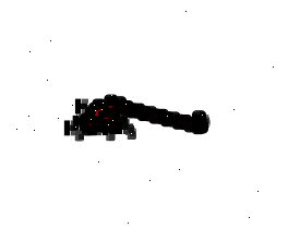 C/C=C(\C)Cc1cc(OC)c(Cl)c(N(C)C(=O)C[C@H](OC(=O)[C@@H](C)N(C)C(=O)CCSC2CC(=O)N(CCC(=O)NCCOCCOCCOCCOCCOCCOCCOCCOCCOCCOCCOCCOCCC(=O)ON3C(=O)CCC3=O)C2=O)[C@]2(C)O[C@H]2[C@H](C)[C@@H]2C[C@](O)([C@@H](C)OC)NC(=O)O2)c1